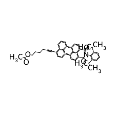 CC(=O)OCCCCC#Cc1ccc2c3ccc4c5c(ccc(c6cccc1c62)c53)C(=O)N(c1c(C(C)C)cccc1C(C)C)C4=O